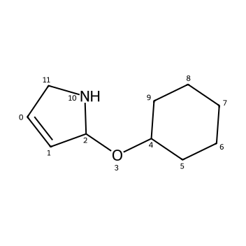 C1=CC(OC2CCCCC2)NC1